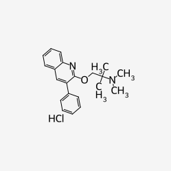 CN(C)C(C)(C)COc1nc2ccccc2cc1-c1ccccc1.Cl